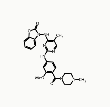 COc1cc(Nc2ncc(C)c(Nn3c(=O)oc4ccccc43)n2)ccc1C(=O)N1CCN(C)CC1